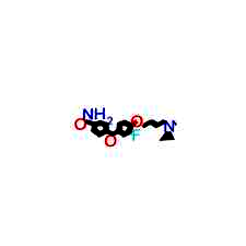 CN(CC=CCOc1ccc(C(=O)c2ccc(C(N)=O)cc2)cc1F)C1CC1